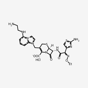 CCO/N=C(\C(=O)N[C@@H]1C(=O)N2C(C(=O)[O-])=C(Cn3cc[n+]4c(NCCN)cccc34)CS[C@@H]12)c1csc(N)n1.Cl